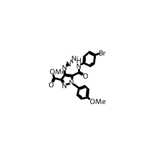 COC(=O)c1nn(-c2ccc(OC)cc2)c(C(=O)Nc2ccc(Br)cc2)c1N=[N+]=[N-]